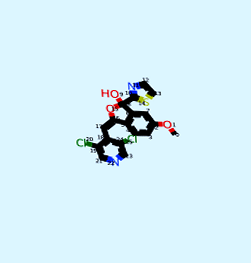 COc1ccc2c(c1)C(O)(c1nccs1)O/C2=C/c1c(Cl)cncc1Cl